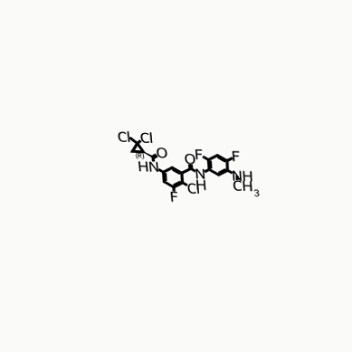 CNc1cc(NC(=O)c2cc(NC(=O)[C@H]3CC3(Cl)Cl)cc(F)c2Cl)c(F)cc1F